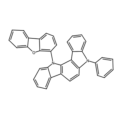 c1ccc(-n2c3ccccc3c3c2ccc2c4ccccc4n(-c4cccc5c4oc4ccccc45)c23)cc1